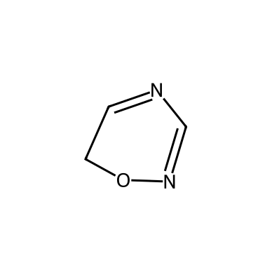 C1=NC=NOC1